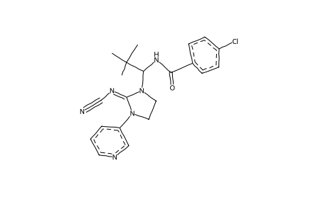 CC(C)(C)C(NC(=O)c1ccc(Cl)cc1)N1CCN(c2cccnc2)C1=NC#N